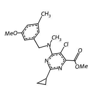 COC(=O)c1nc(C2CC2)nc(N(C)Cc2cc(C)cc(OC)c2)c1Cl